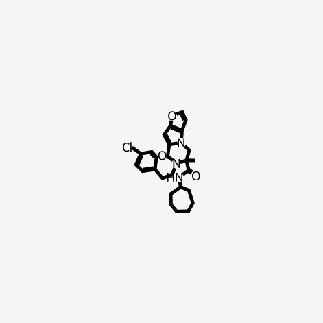 CC1(C(=O)NC2CCCCCC2)Cn2c(cc3occc32)C(=O)N1CCc1ccc(Cl)cc1